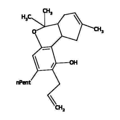 C=CCc1c(CCCCC)cc2c(c1O)C1CC(C)=CCC1C(C)(C)O2